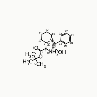 CC(C)(C)OC(=O)C(N)[C@@H]1CCCCN1[C@@H](CO)c1ccccc1